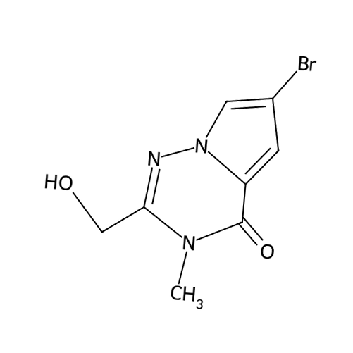 Cn1c(CO)nn2cc(Br)cc2c1=O